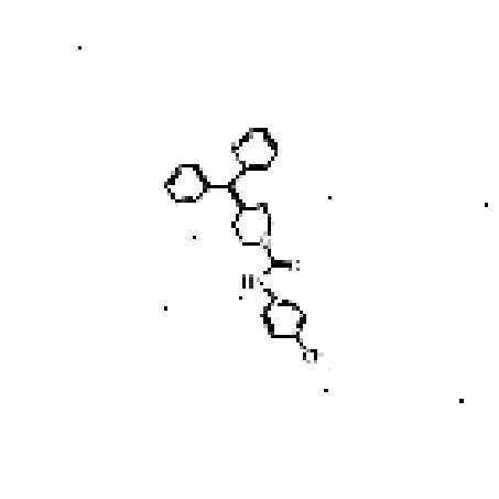 Cc1ccc(NC(=O)N2CCC(=C(c3ccccc3)c3ccccc3)CC2)cc1